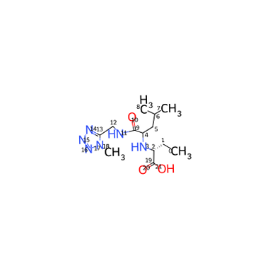 CC[C@@H](NC(CC(C)C)C(=O)NCc1nnnn1C)C(=O)O